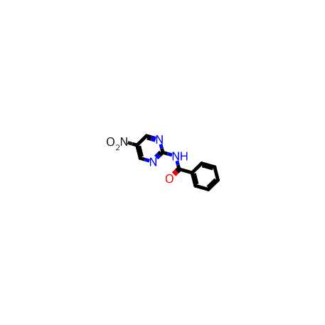 O=C(Nc1ncc([N+](=O)[O-])cn1)c1ccccc1